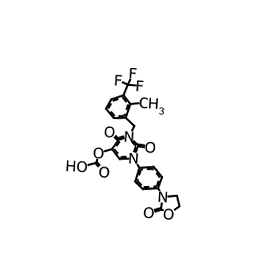 Cc1c(Cn2c(=O)c(OC(=O)O)cn(-c3ccc(N4CCOC4=O)cc3)c2=O)cccc1C(F)(F)F